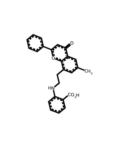 Cc1cc(CCNc2ccccc2C(=O)O)c2oc(-c3ccccc3)cc(=O)c2c1